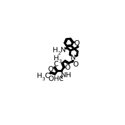 Cc1cc(C(NC=O)c2ccc(C(=O)N3CCC4(COc5ccccc54)C(CN)C3)o2)c(C)o1